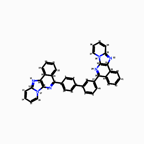 c1cc(-c2ccc(-c3nc4c(nc5ccccn54)c4ccccc34)cc2)cc(-c2nc3c(nc4ccccn43)c3ccccc23)c1